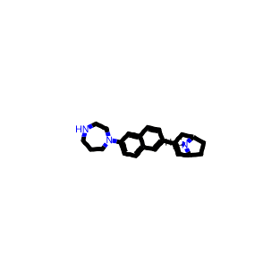 CN1C2C=C(c3ccc4cc(N5CCCNCC5)ccc4c3)CC1CC2